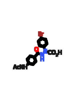 CC(=O)Nc1ccc(C(=O)NN(C(=O)O)c2ccc(Br)cc2)cc1